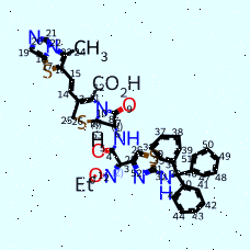 CCO/N=C(\C(=O)N[C@@H]1C(=O)N2C(C(=O)O)=C(C=Cc3sc4cncn4c3C)CS[C@H]12)c1csc(NC(c2ccccc2)(c2ccccc2)c2ccccc2)n1